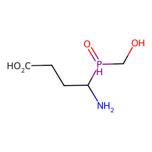 NC(CCC(=O)O)[PH](=O)CO